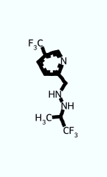 CC(NNCc1ccc(C(F)(F)F)cn1)C(F)(F)F